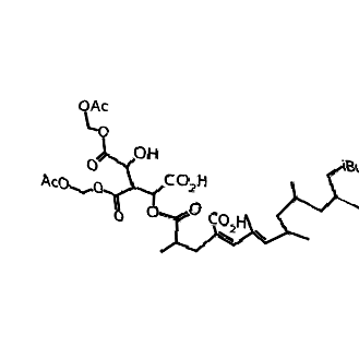 CCC(C)CC(C)CC(C)CC(C)/C=C(C)/C=C(/CC(C)C(=O)OC(C(=O)O)C(C(=O)OCOC(C)=O)C(O)C(=O)OCOC(C)=O)C(=O)O